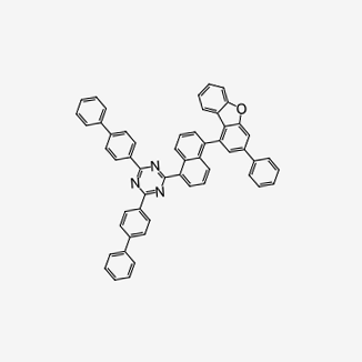 c1ccc(-c2ccc(-c3nc(-c4ccc(-c5ccccc5)cc4)nc(-c4cccc5c(-c6cc(-c7ccccc7)cc7oc8ccccc8c67)cccc45)n3)cc2)cc1